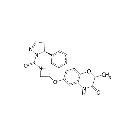 CC1Oc2ccc(OC3CN(C(=O)N4N=CC[C@H]4c4ccccc4)C3)cc2NC1=O